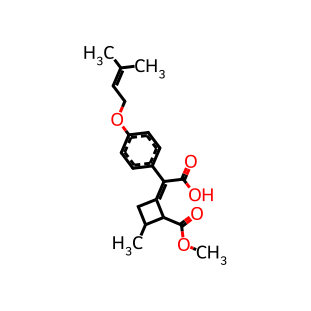 COC(=O)C1/C(=C(\C(=O)O)c2ccc(OCC=C(C)C)cc2)CC1C